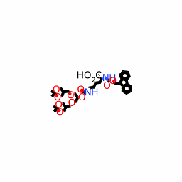 CC1(C)OCC(COCC(COCC2COC(C)(C)OC2)OC(=O)NCCCC[C@@H](NC(=O)OCC2c3ccccc3-c3ccccc32)C(=O)O)CO1